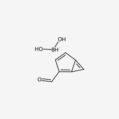 O=Cc1ccc2cc1-2.OBO